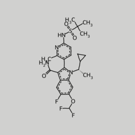 Cc1nc(NS(=O)(=O)C(C)(C)C)ccc1-c1c(C(N)=O)c2cc(F)c(OC(F)F)cc2n1[C@@H](C)C1CC1